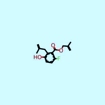 C=C(C)COC(=O)c1c(F)ccc(O)c1CC(=C)C